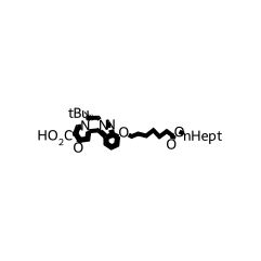 CCCCCCCOC(=O)CCCCCCOc1cccc2c3n(nc12)C[C@@H](C(C)(C)C)n1cc(C(=O)O)c(=O)cc1-3